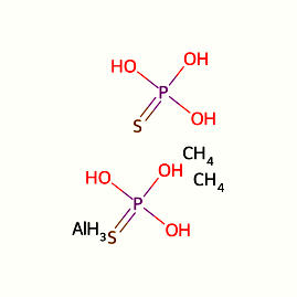 C.C.OP(O)(O)=S.OP(O)(O)=S.[AlH3]